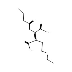 CCCC(=O)CC(C(=O)O)=C(CCOCC)C(=O)O